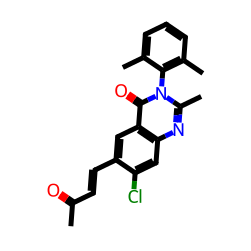 CC(=O)/C=C/c1cc2c(=O)n(-c3c(C)cccc3C)c(C)nc2cc1Cl